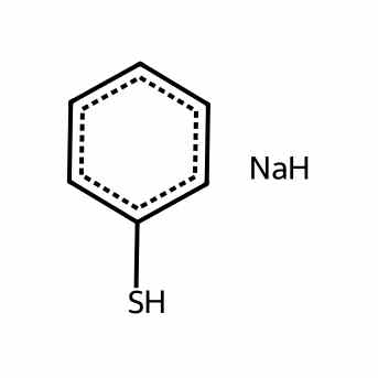 Sc1ccccc1.[NaH]